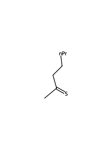 CCCCCC(C)=S